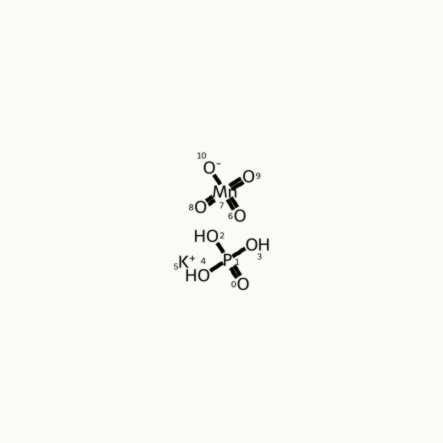 O=P(O)(O)O.[K+].[O]=[Mn](=[O])(=[O])[O-]